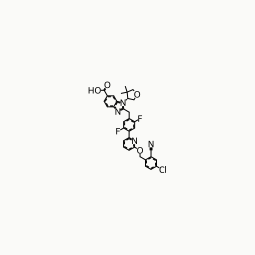 CC1(C)COC[C@H]1n1c(Cc2cc(F)c(-c3cccc(OCc4ccc(Cl)cc4C#N)n3)cc2F)nc2ccc(C(=O)O)cc21